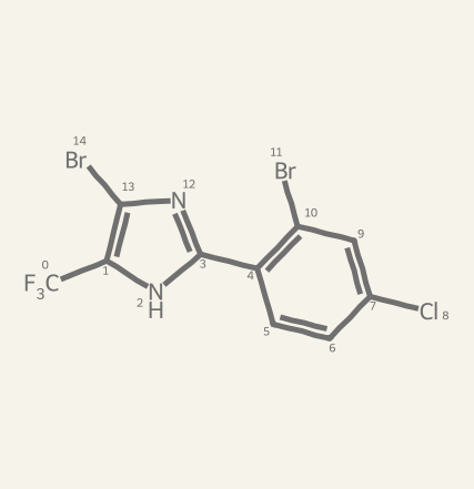 FC(F)(F)c1[nH]c(-c2ccc(Cl)cc2Br)nc1Br